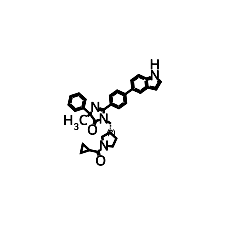 CC1(c2ccccc2)N=C(c2ccc(-c3ccc4[nH]ccc4c3)cc2)N(C[C@@H]2CCN(C(=O)C3CC3)C2)C1=O